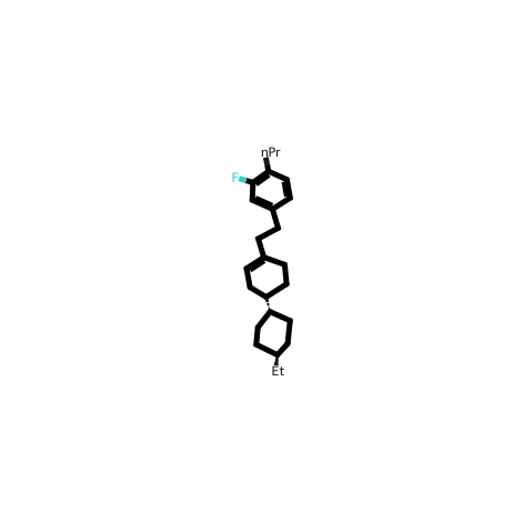 CCCc1ccc(CCC2=CCC([C@H]3CC[C@H](CC)CC3)CC2)cc1F